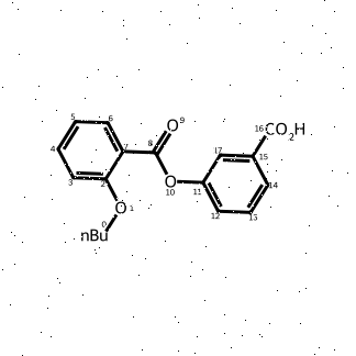 CCCCOc1ccccc1C(=O)Oc1cccc(C(=O)O)c1